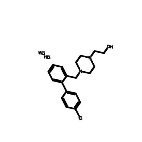 Cl.Cl.OCCN1CCN(Cc2ccccc2-c2ccc(Cl)cc2)CC1